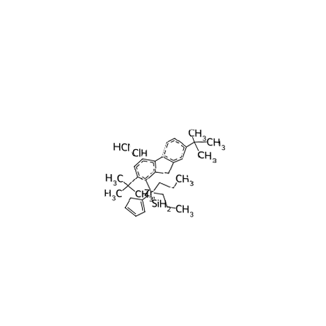 CC[CH2][Zr](=[SiH2])([CH2]CC)([C]1=CC=CC1)[c]1c(C(C)(C)C)ccc2c1Cc1cc(C(C)(C)C)ccc1-2.Cl.Cl